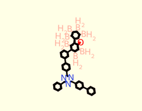 Bc1c(B)c(B)c2c(oc3c(B)c(B)c(-c4cccc(-c5ccc(-c6nc(-c7ccccc7)nc(-c7ccc(-c8ccccc8)cc7)n6)cc5)c4)c(B)c32)c1B